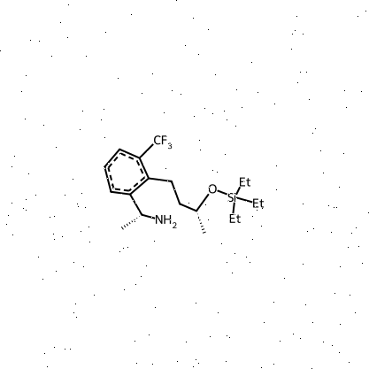 CC[Si](CC)(CC)O[C@H](C)CCc1c([C@@H](C)N)cccc1C(F)(F)F